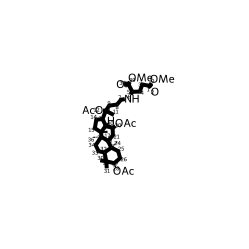 COC(=O)CCC(NCCCC(C)(OC(C)=O)C1CC[C@]2(C)[C@@H]1C(OC(C)=O)CC1[C@@]3(C)CC[C@H](OC(C)=O)C(C)(C)C3CC[C@]12C)C(=O)OC